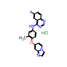 Cc1cc(Nc2ncnc3ccc(I)cc23)ccc1Oc1ccn2ccnc2c1.Cl